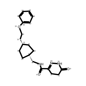 O=C1CCC(C(=O)NC[C@H]2CC[C@@H](CCOc3ccccc3)CC2)=NN1